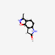 Cc1noc2c3c(ccc12)NC(=O)C3